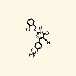 N#Cc1c(-c2ccc(OC(F)(F)F)cc2)nc(SCc2ccccc2Cl)[nH]c1=O